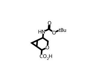 CC(C)(C)OC(=O)NC1COC(C(=O)O)C2CC12